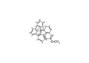 COC(=O)CCC1=CC=CCC1=P(c1ccccc1)(c1ccccc1)c1ccccc1